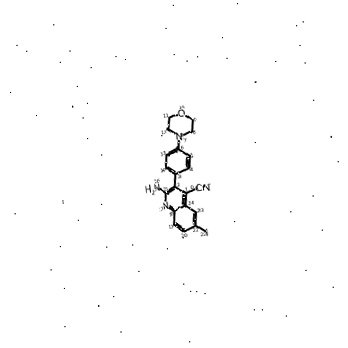 N#Cc1c(-c2ccc(N3CCOCC3)cc2)c(N)nc2ccc(I)cc12